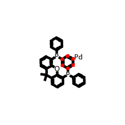 CC1(C)c2cccc(P(c3ccccc3)c3ccccc3)c2Oc2c(P(c3ccccc3)c3ccccc3)cccc21.[Pd]